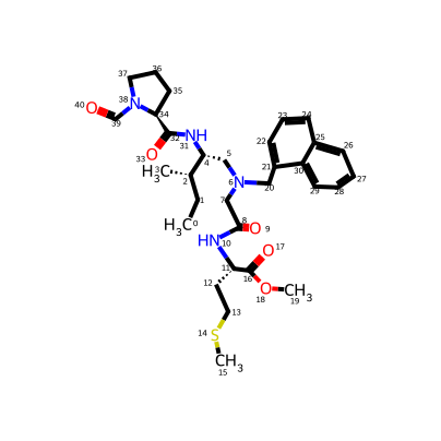 CC[C@H](C)[C@@H](CN(CC(=O)N[C@@H](CCSC)C(=O)OC)Cc1cccc2ccccc12)NC(=O)[C@@H]1CCCN1C=O